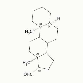 C[C@]12CCC3C(CC[C@@H]4CCCC[C@]34C)C1CC[C@@H]2C=O